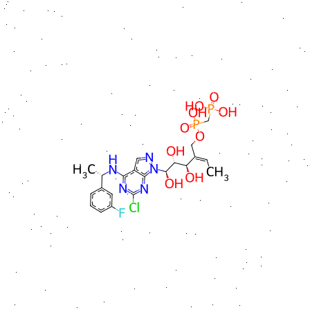 C/C=C(/COP(=O)(O)CP(=O)(O)O)[C@@H](O)[C@@H](O)[C@@H](O)n1ncc2c(N[C@@H](C)c3cccc(F)c3)nc(Cl)nc21